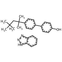 CC(C)(C)CC(C)(C)c1ccc(-c2ccc(O)cc2)cc1.c1ccc2[nH]nnc2c1